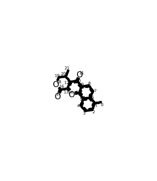 Cc1cccc2c1ccc1c(=O)c3c(oc12)C(=O)OCC3C